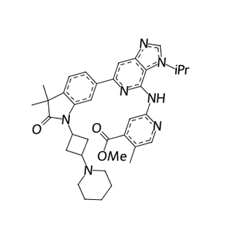 COC(=O)c1cc(Nc2nc(-c3ccc4c(c3)N(C3CC(N5CCCCC5)C3)C(=O)C4(C)C)cc3ncn(C(C)C)c23)ncc1C